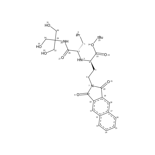 CC(C)C[C@H](N[C@H](CCN1C(=O)c2cc3ccccc3cc2C1=O)C(=O)OC(C)(C)C)C(=O)NC(CO)(CO)CO